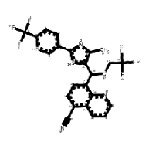 Cc1nc(-c2ccc(C(F)(F)F)nc2)sc1C(OCC(F)(F)F)c1ccc(C#N)c2cccnc12